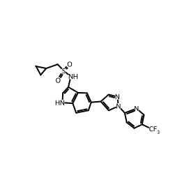 O=S(=O)(CC1CC1)Nc1c[nH]c2ccc(-c3cnn(-c4ccc(C(F)(F)F)cn4)c3)cc12